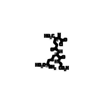 N[C@@H](CSC[C@@H](NC(=O)CC[C@@H](NC(=O)Cl)C(=O)O)C(=O)NCC(=O)O)C(=O)O